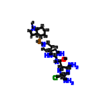 Cn1ccc2c(SN3CCC4(CC3)CN/C(=N\C(=O)c3nc(Cl)c(N)nc3N)N4)cccc21